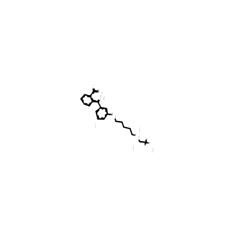 CC(C)(C)CNCCCCCNc1cccc(-c2n[nH]c(=O)c3ccccc23)c1.Cl